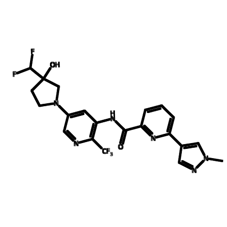 Cn1cc(-c2cccc(C(=O)Nc3cc(N4CCC(O)(C(F)F)C4)cnc3C(F)(F)F)n2)cn1